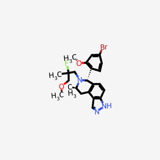 COCC(C)(F)CN1[C@H](c2ccc(Br)cc2OC)c2ccc3[nH]ncc3c2C[C@H]1C